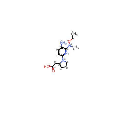 CCON(C)c1nc(N2CCCC2CC(=O)O)ccc1N